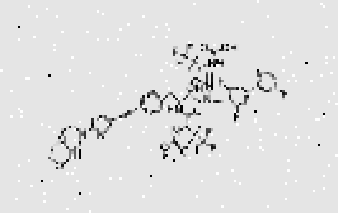 COC(=O)NC(C(=O)NC(Cc1ccc(C#Cc2ccc(N3CCN4CCOC[C@H]4C3)nc2)cc1)C(O)CN(Cc1c(F)cc(-c2cc(F)ccn2)cc1F)NC(=O)C(NC(=O)O)C(C)(C)C(F)(F)F)C(C)(C)C(F)(F)F